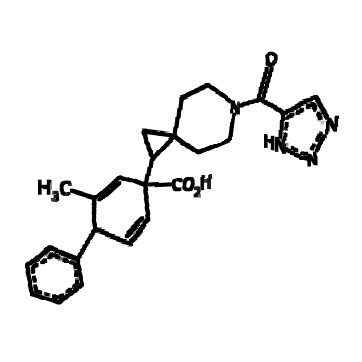 CC1=CC(C(=O)O)(C2CC23CCN(C(=O)c2cnn[nH]2)CC3)C=CC1c1ccccc1